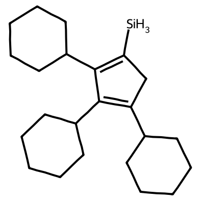 [SiH3]C1=C(C2CCCCC2)C(C2CCCCC2)=C(C2CCCCC2)C1